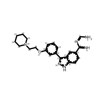 N=C(/N=C\N)c1ccc2[nH]nc(-c3cccc(OCCN4CCCCC4)c3)c2c1